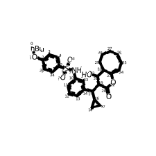 CCCCOc1ccc(S(=O)(=O)Nc2cccc(C(C3CC3)C3C(=O)OC4=CC=CCCCC4C3O)c2)cc1